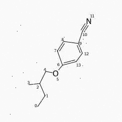 CCC(C)COc1ccc(C#N)cc1